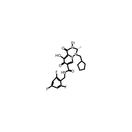 CCN1C(=O)c2c(O)c(=O)c(C(=O)NCc3c(F)cc(F)cc3F)cn2N(CC2CCCC2)[C@H]1C